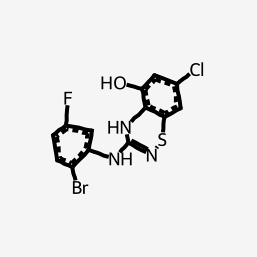 Oc1cc(Cl)cc2c1NC(Nc1cc(F)ccc1Br)=NS2